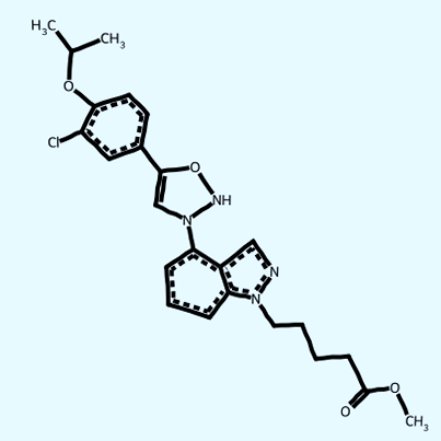 COC(=O)CCCCn1ncc2c(N3C=C(c4ccc(OC(C)C)c(Cl)c4)ON3)cccc21